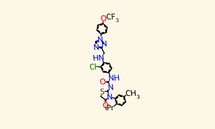 Cc1ccc(C(C)C)c(N2C(=O)CSC2=NC(=O)Nc2ccc(NCc3ncn(-c4ccc(OC(F)(F)F)cc4)n3)c(Cl)c2)c1